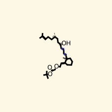 CC(C)=CCC[C@H](C)CC[C@H](O)/C=C/C=C/[C@]1(C)CCCCC1=CCOCC(=O)OC(C)(C)C